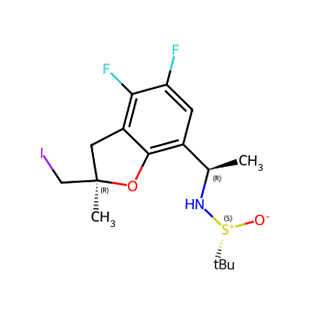 C[C@@H](N[S@+]([O-])C(C)(C)C)c1cc(F)c(F)c2c1O[C@@](C)(CI)C2